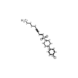 CCCCCC#CC=CS(=O)(=O)N1CCN(c2ccc(Cl)cc2)CC1